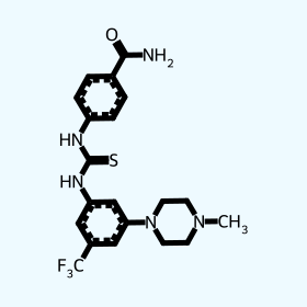 CN1CCN(c2cc(NC(=S)Nc3ccc(C(N)=O)cc3)cc(C(F)(F)F)c2)CC1